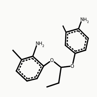 CCC(Oc1ccc(N)c(C)c1)Oc1cccc(C)c1N